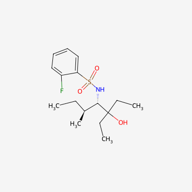 CC[C@H](C)[C@H](NS(=O)(=O)c1ccccc1F)C(O)(CC)CC